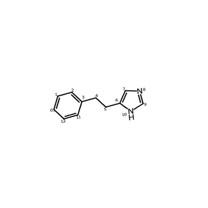 [c]1ccc(CCc2cnc[nH]2)cc1